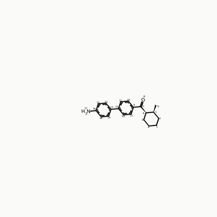 C[C@H]1CCCC[C@H]1C(=O)c1ccc(-c2ccc(N)cc2)cc1